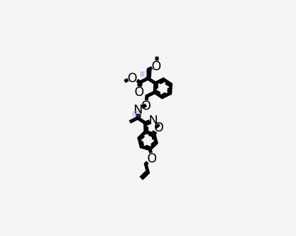 C=CCOc1ccc2c(/C(C)=N\OCc3ccccc3/C(=C\OC)C(=O)OC)noc2c1